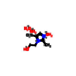 Cc1ncc([N+](=O)[O-])n1CCO.O.O.O